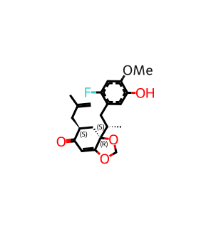 C=C(C)C[C@H]1C[C@]2([C@@H](C)Cc3cc(O)c(OC)cc3F)OCOC2=CC1=O